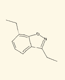 CCc1noc2c(CC)cccc12